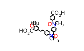 CN(C(=O)c1ccc(N(C)C(=O)c2ccc(C(=O)O)cc2)cc1)c1ccc(/C=C/c2ccc(OC(C)(C)C)c(C(=O)O)c2)cc1